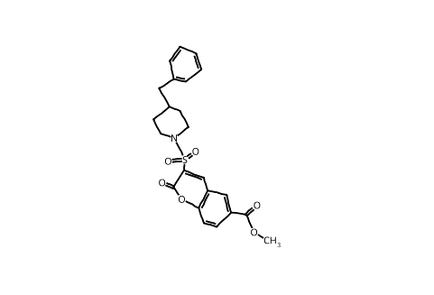 COC(=O)c1ccc2oc(=O)c(S(=O)(=O)N3CCC(Cc4ccccc4)CC3)cc2c1